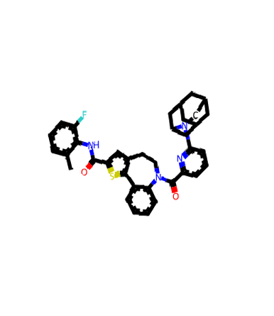 Cc1cccc(F)c1NC(=O)c1cc2c(s1)-c1ccccc1N(C(=O)c1cccc(N3CC4CC5CC(C4)CC3C5)n1)CC2